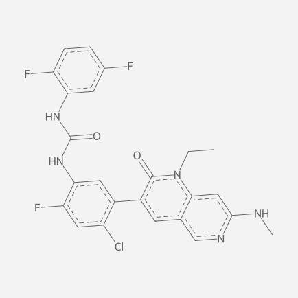 CCn1c(=O)c(-c2cc(NC(=O)Nc3cc(F)ccc3F)c(F)cc2Cl)cc2cnc(NC)cc21